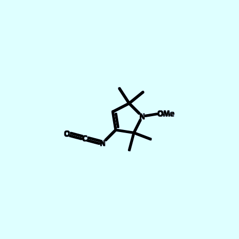 CON1C(C)(C)C=C(N=C=O)C1(C)C